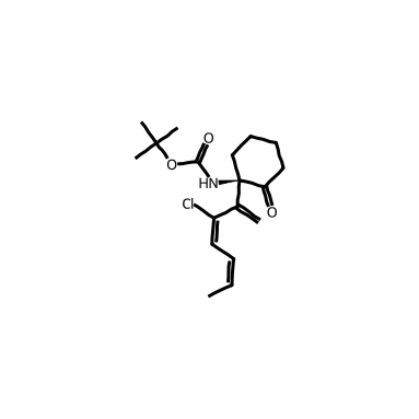 C=C(/C(Cl)=C\C=C/C)[C@]1(NC(=O)OC(C)(C)C)CCCCC1=O